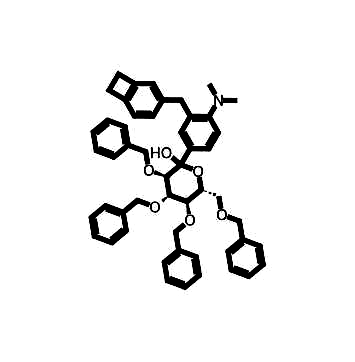 CN(C)c1ccc(C2(O)O[C@H](COCc3ccccc3)[C@@H](OCc3ccccc3)[C@H](OCc3ccccc3)[C@H]2OCc2ccccc2)cc1Cc1ccc2c(c1)CC2